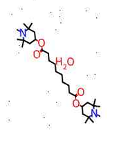 CN1C(C)(C)CC(OC(=O)CCCCCCCCC(=O)OC2CC(C)(C)N(C)C(C)(C)C2)CC1(C)C.O